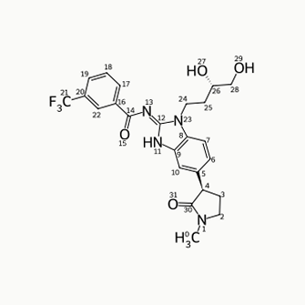 CN1CC[C@H](c2ccc3c(c2)[nH]/c(=N\C(=O)c2cccc(C(F)(F)F)c2)n3CC[C@H](O)CO)C1=O